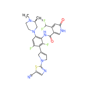 C[C@H]1CN(c2cc(F)c(C3=CCN(c4ncc(C#N)s4)C3)c(F)c2NC(=O)c2c[nH]c(=O)cc2C(F)F)CCN1C